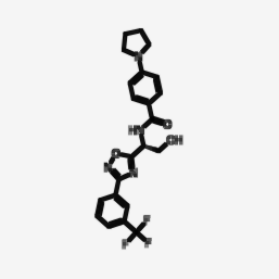 O=C(N[C@@H](CO)c1nc(-c2cccc(C(F)(F)F)c2)no1)c1ccc(N2CCCC2)cc1